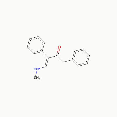 CNC=C(C(=O)Cc1ccccc1)c1ccccc1